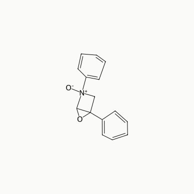 [O-][N+]1(c2ccccc2)CC2(c3ccccc3)OC21